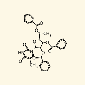 Cc1cn([C@@H]2O[C@H]([C@@H](C)OC(=O)c3ccccc3)[C@@H](OC(=O)c3ccccc3)[C@H]2OC(=O)c2ccccc2)c(=O)[nH]c1=O